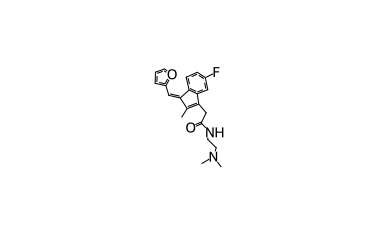 CC1=C(CC(=O)NCCN(C)C)c2cc(F)ccc2/C1=C\c1ccco1